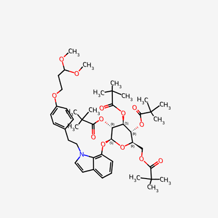 COC(CCOc1ccc(CCn2ccc3cccc(O[C@@H]4O[C@H](COC(=O)C(C)(C)C)[C@@H](OC(=O)C(C)(C)C)[C@H](OC(=O)C(C)(C)C)[C@H]4OC(=O)C(C)(C)C)c32)cc1)OC